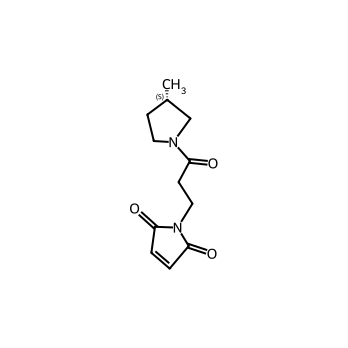 C[C@H]1CCN(C(=O)CCN2C(=O)C=CC2=O)C1